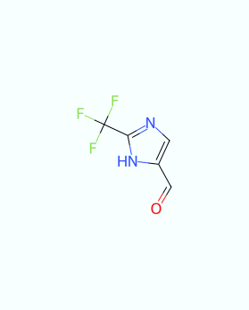 O=Cc1cnc(C(F)(F)F)[nH]1